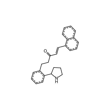 O=C(C=Cc1cccc2ccccc12)CCc1ccccc1C1CCCN1